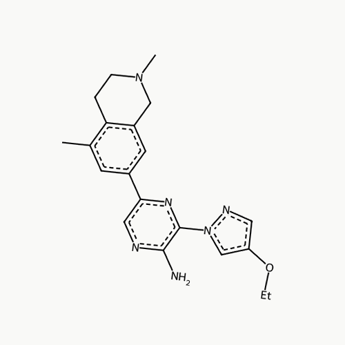 CCOc1cnn(-c2nc(-c3cc(C)c4c(c3)CN(C)CC4)cnc2N)c1